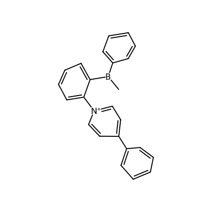 CB(c1ccccc1)c1ccccc1-[n+]1ccc(-c2ccccc2)cc1